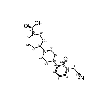 N#CCn1cccc(C2CCN(C3CCCN(C(=O)O)CC3)CC2)c1=O